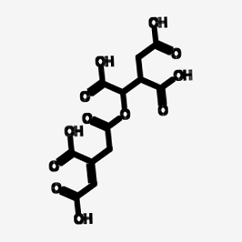 O=C(O)C=C(CC(=O)OC(C(=O)O)C(CC(=O)O)C(=O)O)C(=O)O